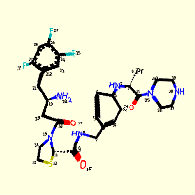 CC(C)[C@@H](NC1C=CC(CNC(=O)[C@@H]2SCCN2C(=O)C[C@H](N)Cc2cc(F)c(F)cc2F)=CC1)C(=O)N1CCNCC1